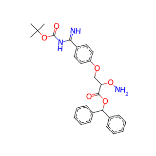 CC(C)(C)OC(=O)NC(=N)c1ccc(OCC(ON)C(=O)OC(c2ccccc2)c2ccccc2)cc1